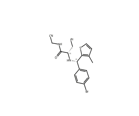 Cc1ccsc1[C@@H](N[C@@H](CC(C)C)C(=O)NCC#N)c1ccc(Br)cc1